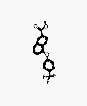 COC(=O)c1ccc2c(Oc3ccc(C(F)(F)F)cc3)cccc2c1